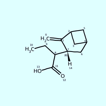 C=C1C2CC(C2)C[C@@H]1C(CC)C(=O)O